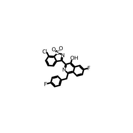 O=S1(=O)N=C(c2nc(Cc3ccc(F)cc3)c3ccc(F)cc3c2O)c2cccc(Cl)c21